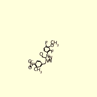 COc1c(F)ccc(N2N=NN(Cc3ccc([N+](=O)[O-])c(C)c3)C2C=O)c1F